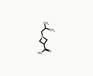 CC(C)CN1CC(C(=O)O)C1